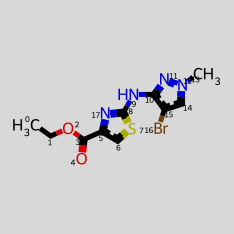 CCOC(=O)c1csc(Nc2nn(C)cc2Br)n1